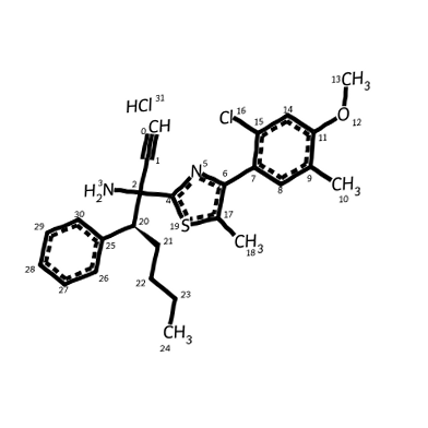 C#CC(N)(c1nc(-c2cc(C)c(OC)cc2Cl)c(C)s1)[C@@H](CCCC)c1ccccc1.Cl